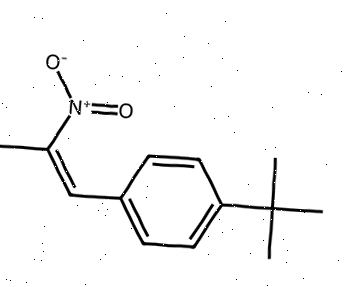 CC(=Cc1ccc(C(C)(C)C)cc1)[N+](=O)[O-]